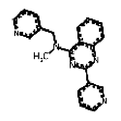 CN(Cc1cccnc1)c1nc(-c2cccnc2)nc2ccccc12